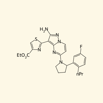 CCCc1ccc(F)cc1C1CCCN1c1ccn2nc(N)c(-c3nc(C(=O)OCC)cs3)c2n1